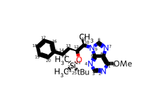 COc1ncnc2c1ncn2[C@H](C)[C@H](CCc1ccccc1)O[Si](C)(C)C(C)(C)C